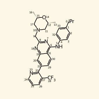 CC(C)c1ccc(Nc2nc(CN3C[C@@H](C)O[C@@H](C)C3)nc3cc(-c4ncccc4C(F)(F)F)ccc23)cc1